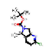 C[C@@H]1c2ccc(Cl)nc2CN1C(=O)OC(C)(C)C